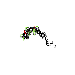 CCCCCC1CCC(c2ccc(C(F)(F)Oc3ccc(C(F)(F)Oc4cc(F)c(F)c(F)c4)c(F)c3)c(F)c2)CC1